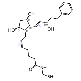 O=C(CCC/C=C\C[C@@H]1[C@@H](/C=C/[C@@H](O)CCc2ccccc2)[C@H](O)C[C@@H]1O)NCS